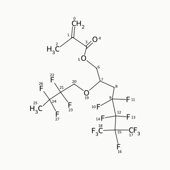 C=C(C)C(=O)OCC(CC(F)(F)C(F)(F)C(F)(C(F)(F)F)C(F)(F)F)OCC(F)(F)C(C)(F)F